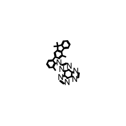 Cc1cccc2c3cc4c(c(C)c3n(-c3cnc5c6nccnc6c6nccnc6c5n3)c12)-c1ccccc1C4(C)C